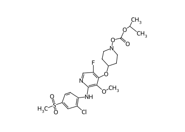 COc1c(Nc2ccc(S(C)(=O)=O)cc2Cl)ncc(F)c1OC1CCN(OC(=O)OC(C)C)CC1